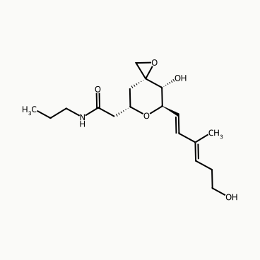 CCCNC(=O)C[C@@H]1C[C@@]2(CO2)[C@H](O)[C@@H](/C=C/C(C)=C/CCO)O1